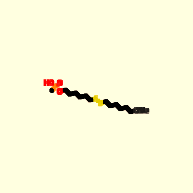 COCCCCCCSSCCCCCCOP(C)(=O)O